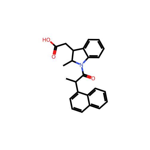 CC(C(=O)N1c2ccccc2C(CC(=O)O)C1C)c1cccc2ccccc12